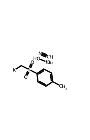 C#N.CC(C)(C)O.Cc1ccc(S(=O)(=O)[CH2][K])cc1